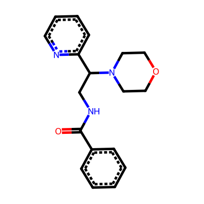 O=C(NCC(c1ccccn1)N1CCOCC1)c1ccccc1